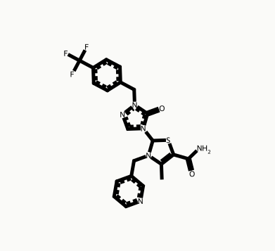 CC1=C(C(N)=O)SC(n2cnn(Cc3ccc(C(F)(F)F)cc3)c2=O)N1Cc1cccnc1